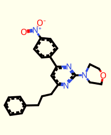 O=[N+]([O-])c1ccc(-c2cc(CCCc3ccccc3)nc(N3CCOCC3)n2)cc1